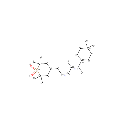 CC(/C=C\CC1CC(C)(C)S(=O)(=O)C(C)(C)C1)=C(/C)C1=CCC(C)(C)CC1